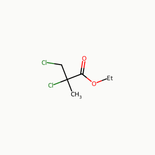 CCOC(=O)C(C)(Cl)CCl